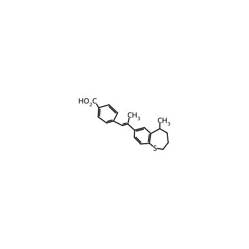 CC(=Cc1ccc(C(=O)O)cc1)c1ccc2c(c1)C(C)CCCS2